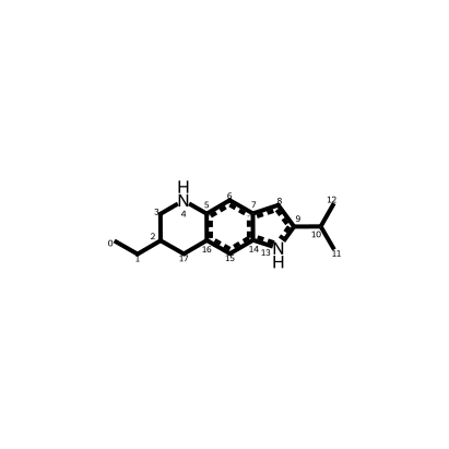 CCC1CNc2cc3cc(C(C)C)[nH]c3cc2C1